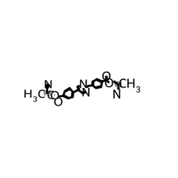 C[C@H](C#N)COC(=O)c1ccc(-c2cnc(-c3ccc(C(=O)OC[C@H](C)C#N)cc3)nc2)cc1